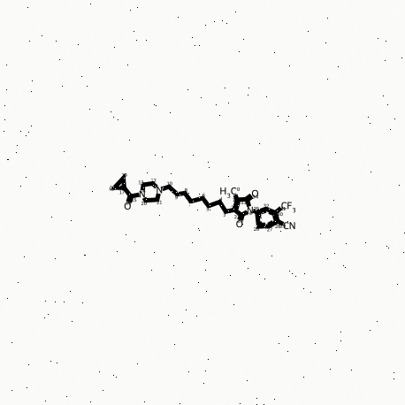 CC1=C(CCCCCCCCN2CCN(C(=O)C3CC3)CC2)C(=O)N(c2ccc(C#N)c(C(F)(F)F)c2)C1=O